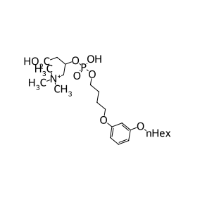 CCCCCCOc1cccc(OCCCCOP(=O)(O)OC(CC(=O)O)C[N+](C)(C)C)c1